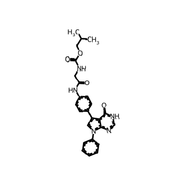 CC(C)COC(=O)NCC(=O)Nc1ccc(-c2cn(-c3ccccc3)c3nc[nH]c(=O)c23)cc1